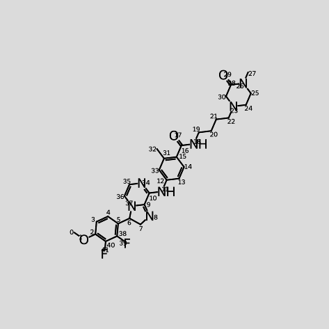 COc1ccc(C2CN=C3C(Nc4ccc(C(=O)NCCCCN5CCN(C)C(=O)C5)c(C)c4)=NC=CN32)c(F)c1F